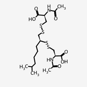 CC(=O)N[C@@H](CSSC[C@H](CCCCC(C)C)SSC[C@H](NC(C)=O)C(=O)O)C(=O)O